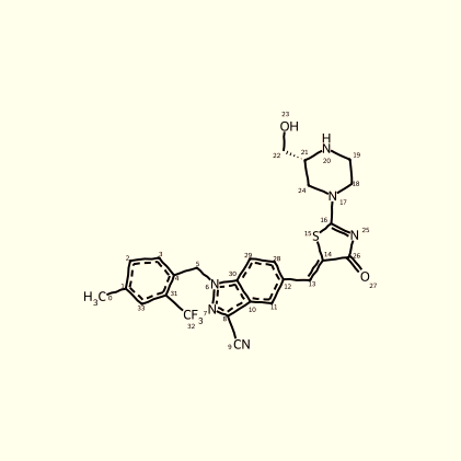 Cc1ccc(Cn2nc(C#N)c3cc(/C=C4\SC(N5CCN[C@@H](CO)C5)=NC4=O)ccc32)c(C(F)(F)F)c1